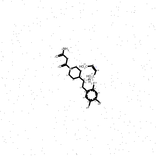 NC(=O)CC(=O)N1CCC([C@H](N)Cc2cc(F)c(F)cc2F)CC1.O=C(O)/C=C\C(=O)O